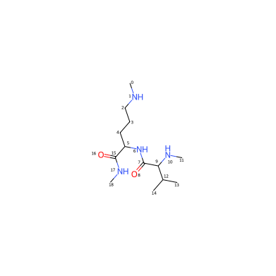 CNCCCC(NC(=O)C(NC)C(C)C)C(=O)NC